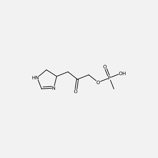 CP(=O)(O)OCC(=O)CC1CNC=N1